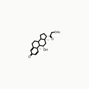 CC(=O)OCC(=O)[C@H]1CCC2C3CCC4=CC(=O)C=C[C@]4(C)C3[C@@H](O)C[C@@]21C